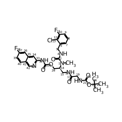 CN(C(=O)NCc1cccc(F)c1Cl)[C@@H](CNC(=O)CNC(=O)OC(C)(C)C)COC(=O)Nc1cc2cc(F)ccc2cn1